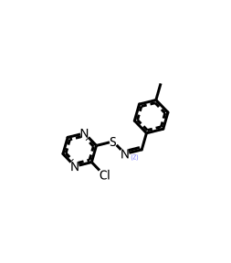 Cc1ccc(/C=N\Sc2nccnc2Cl)cc1